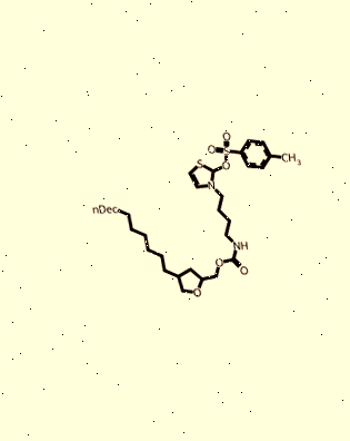 CCCCCCCCCCCCCCCCC1COC(COC(=O)NCCCCN2C=CSC2OS(=O)(=O)c2ccc(C)cc2)C1